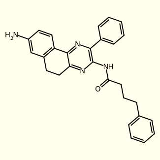 Nc1ccc2c(c1)CCc1nc(NC(=O)CCCc3ccccc3)c(-c3ccccc3)nc1-2